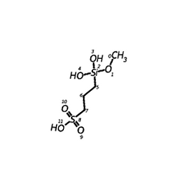 CO[Si](O)(O)CCCS(=O)(=O)O